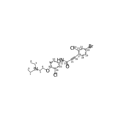 CCN(CC)CCOc1ccc(NC(=O)C#Cc2ccc(Br)cc2Cl)cc1Cl